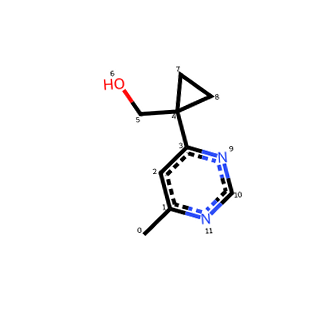 Cc1cc(C2(CO)CC2)ncn1